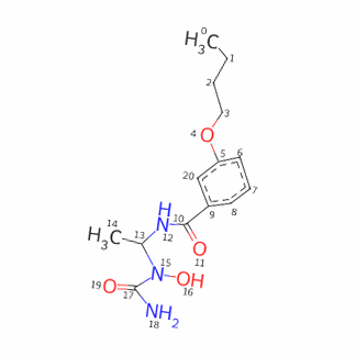 CCCCOc1cccc(C(=O)NC(C)N(O)C(N)=O)c1